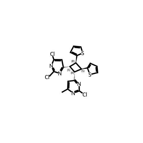 Cc1cc([C@@H]2[C@H](c3cc(Cl)nc(Cl)n3)[C@@H](c3cccs3)[C@H]2c2cccs2)nc(Cl)n1